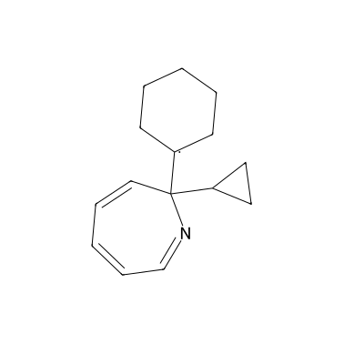 C1=CC=NC([C]2CCCCC2)(C2CC2)C=C1